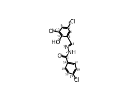 O=C(N/N=C/c1cc(Cl)cc(Cl)c1O)c1ccc(Cl)cc1